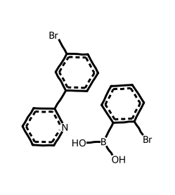 Brc1cccc(-c2ccccn2)c1.OB(O)c1ccccc1Br